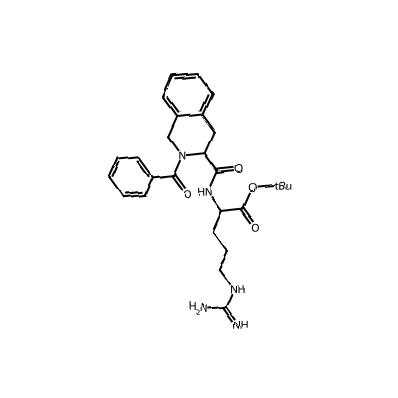 CC(C)(C)OC(=O)C(CCCNC(=N)N)NC(=O)C1Cc2ccccc2CN1C(=O)c1ccccc1